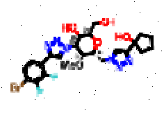 CO[C@@H]1[C@@H](n2cc(-c3ccc(Br)c(F)c3F)nn2)[C@@H](O)[C@@H](CO)O[C@@H]1Cn1cc(C2(O)CCCC2)nn1